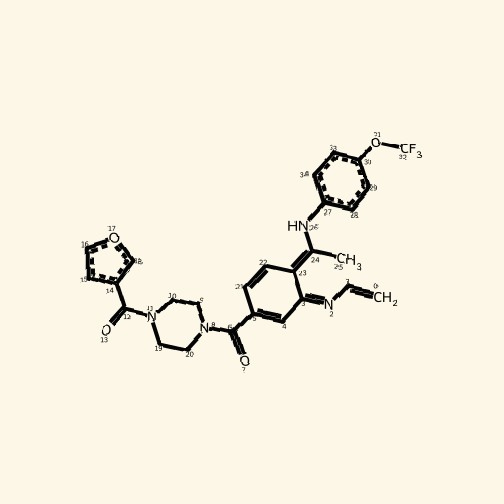 C=C/N=C1/C=C(C(=O)N2CCN(C(=O)c3ccoc3)CC2)C=C/C1=C(/C)Nc1ccc(OC(F)(F)F)cc1